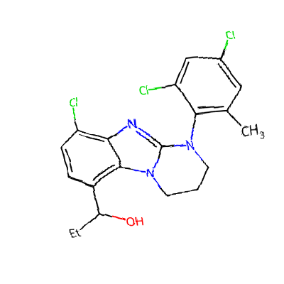 CCC(O)c1ccc(Cl)c2nc3n(c12)CCCN3c1c(C)cc(Cl)cc1Cl